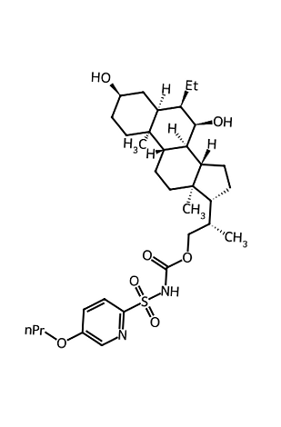 CCCOc1ccc(S(=O)(=O)NC(=O)OC[C@@H](C)[C@H]2CC[C@H]3[C@@H]4[C@H](O)[C@H](CC)[C@@H]5C[C@H](O)CC[C@]5(C)[C@H]4CC[C@]23C)nc1